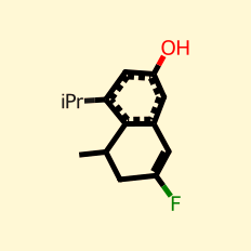 CC(C)c1cc(O)cc2c1C(C)CC(F)=C2